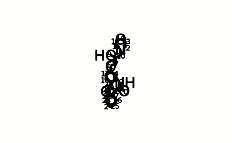 O=c1[nH]c2cc(OCC(O)CN3CCOCC3)ccc2c2oc3ccccc3c12